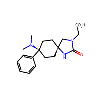 CN(C)[C@]1(c2ccccc2)CC[C@@]2(CC1)CN(CC(=O)O)C(=O)N2